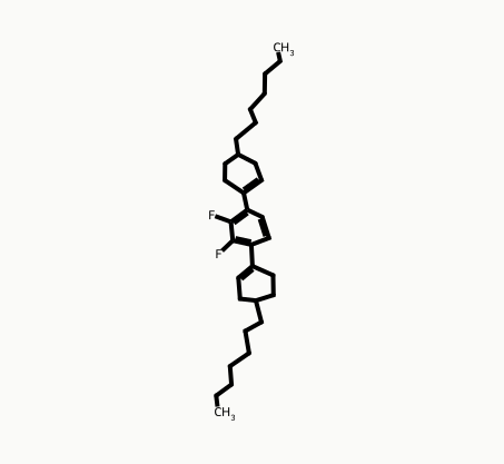 CCCCCCCC1CC=C(c2ccc(C3=CCC(CCCCCCC)CC3)c(F)c2F)CC1